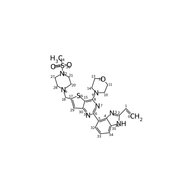 C=Cc1nc2c(-c3nc(N4CCOCC4)c4sc(CN5CCN(S(C)(=O)=O)CC5)cc4n3)cccc2[nH]1